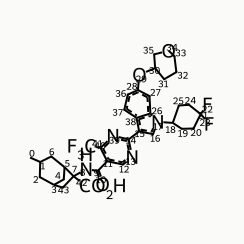 CC1CC2CC(C1)C(NC(=O)c1cnc(-c3cn(C4CCC(F)(F)CC4)c4cc(OC5CCCOC5)ccc34)nc1C(F)(F)F)(C(=O)O)C2